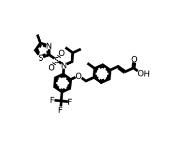 Cc1csc(S(=O)(=O)N(CC(C)C)c2ccc(C(F)(F)F)cc2OCc2ccc(C=CC(=O)O)cc2C)n1